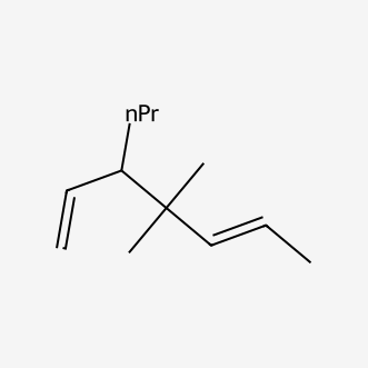 [CH]=CC(CCC)C(C)(C)C=CC